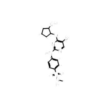 CNS(=O)(=O)c1ccc(Nc2ncc(Br)c(OC3CCCC3O)n2)cc1